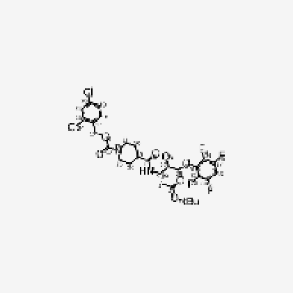 CC(C)(C)OC(=O)C[C@H](NC(=O)C1CCN(C(=O)OCc2ccc(Cl)cc2Cl)CC1)C(=O)COc1c(F)c(F)cc(F)c1F